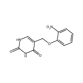 O=c1[nH]cc(COc2ccccc2[N+](=O)[O-])c(=O)[nH]1